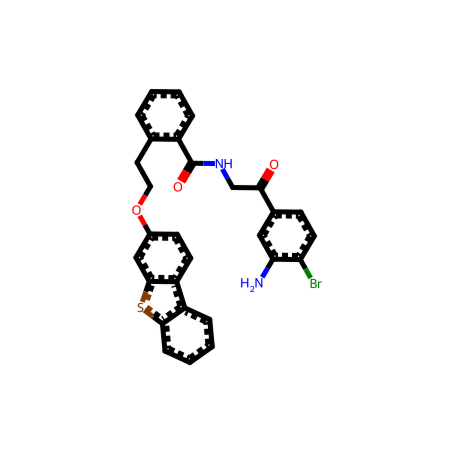 Nc1cc(C(=O)CNC(=O)c2ccccc2CCOc2ccc3c(c2)sc2ccccc23)ccc1Br